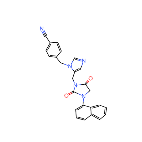 N#Cc1ccc(Cn2cncc2CN2C(=O)CN(c3cccc4ccccc34)C2=O)cc1